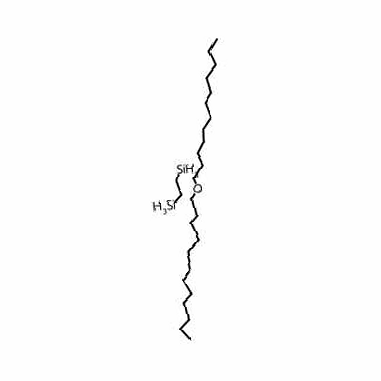 CCCCCCCCCCCCOCCCCCCCCCCCC.[SiH3]CC[SiH3]